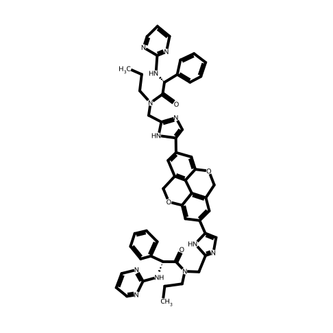 CCCN(Cc1ncc(-c2cc3c4c(c2)OCc2cc(-c5cnc(CN(CCC)C(=O)[C@H](Nc6ncccn6)c6ccccc6)[nH]5)cc(c2-4)OC3)[nH]1)C(=O)[C@H](Nc1ncccn1)c1ccccc1